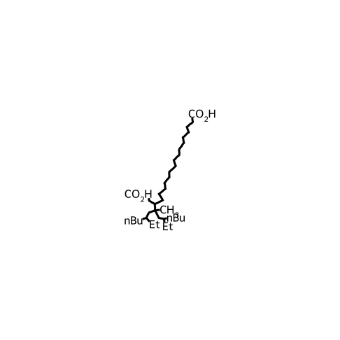 CCCCC(CC)CC(C)(CC(CC)CCCC)C(CCCCCCCCCCCCCCCC(=O)O)CC(=O)O